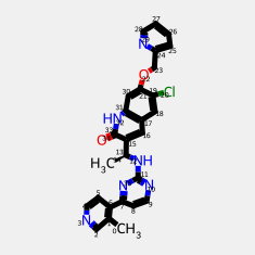 Cc1cnccc1-c1ccnc(N[C@@H](C)c2cc3cc(Cl)c(OCc4ccccn4)cc3[nH]c2=O)n1